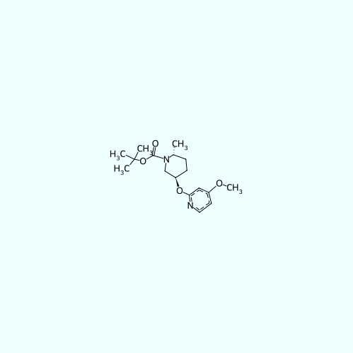 COc1ccnc(O[C@@H]2CC[C@@H](C)N(C(=O)OC(C)(C)C)C2)c1